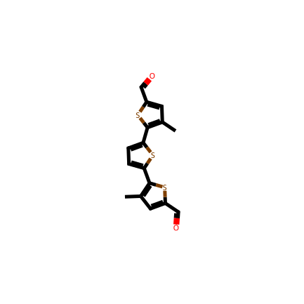 Cc1cc(C=O)sc1-c1ccc(-c2sc(C=O)cc2C)s1